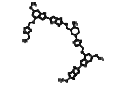 CCc1nc(COc2cc(OC)cc3oc(-c4cn5nc(OCC6CN(c7nc(COc8cc(OC)cc9oc(-c%10cn%11nc(OC)sc%11n%10)cc89)cs7)CCN6C)sc5n4)cc23)cs1